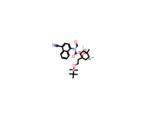 C[C@@H]1CC2(CCO[Si](C)(C)C(C)(C)C)OC1(C)[C@@H](C)[C@H]2C(=O)N(C=O)c1ccc(C#N)c2ccccc12